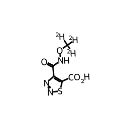 [2H]C([2H])([2H])ONC(=O)c1nnsc1C(=O)O